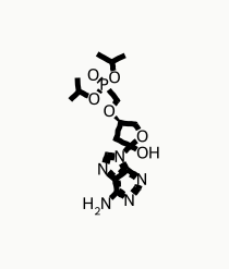 CC(C)OP(=O)(CO[C@H]1COC(O)(n2cnc3c(N)ncnc32)C1)OC(C)C